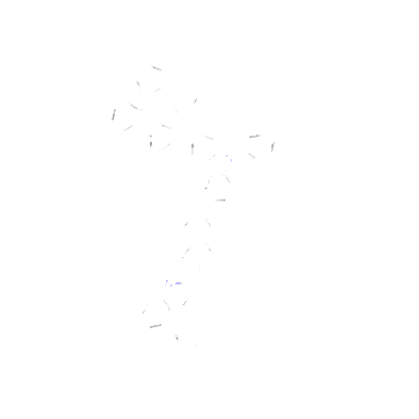 c1ccc(-n2c3ccc(-c4ccc5c(c4)C(c4ccccc4)(c4ccccc4)c4ccccc4-5)cc3c3cc(-c4ccc5cc(-c6cc7c8c(cccc8n6)-c6ccccc6-7)ccc5c4)ccc32)cc1